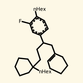 CCCCCCc1ccc(C(CCC2(CCCCCC)CCCCC2)CC2=CCCCC2)cc1F